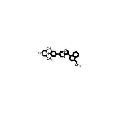 C[C@@H]1CNC[C@H](C)N1c1ccc(-c2cnc3c(-c4ccc(CN)c5ccccc45)cnn3c2)cc1